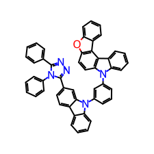 c1ccc(-c2nnc(-c3ccc4c5ccccc5n(-c5cccc(-n6c7ccccc7c7c8c(ccc76)oc6ccccc68)c5)c4c3)n2-c2ccccc2)cc1